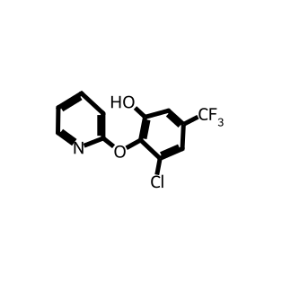 Oc1cc(C(F)(F)F)cc(Cl)c1Oc1ccccn1